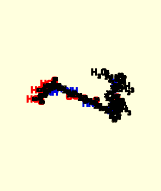 CCCCCN1/C(=C/C=C2\CCCC(/C=C/C3=[N+](CCCCCC(=O)NCCOCCOCC(=O)NCCCC[C@H](NC(=O)N[C@@H](CCC(=O)O)C(=O)O)C(=O)O)c4ccccc4C3(C)C)=C2Oc2ccccc2)C(C)(C)c2ccccc21